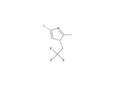 CC1=CC(CC(F)(F)F)C(C)=N1